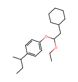 CCOC(CC1CCCCC1)Oc1ccc(C(C)CC)cc1